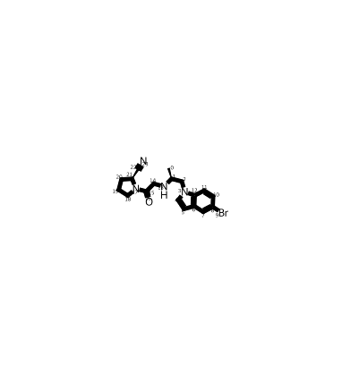 C[C@@H](Cn1ccc2cc(Br)ccc21)NCC(=O)N1CCC[C@H]1C#N